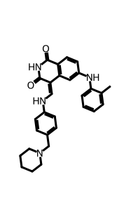 Cc1ccccc1Nc1ccc2c(c1)C(=CNc1ccc(CN3CCCCC3)cc1)C(=O)NC2=O